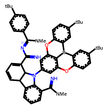 CNC(=N)c1cccc2c1N(c1cc3c4c(c1)Oc1ccc(C(C)(C)C)cc1B4c1cc(C(C)(C)C)ccc1O3)C1C(C(=N)/N=C(\NC)c3ccc(C(C)(C)C)cc3)=CC=CC21